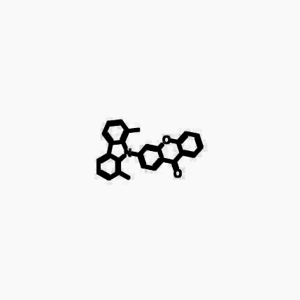 Cc1cccc2c3cccc(C)c3n(-c3ccc4c(=O)c5ccccc5oc4c3)c12